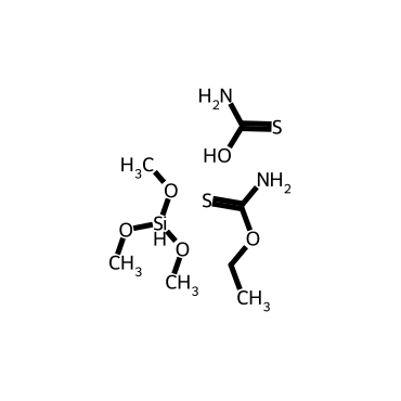 CCOC(N)=S.CO[SiH](OC)OC.NC(O)=S